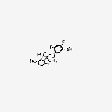 CC(C)(C)c1cc(OCC(C)(C)c2cc(O)ccc2F)c(F)cc1F